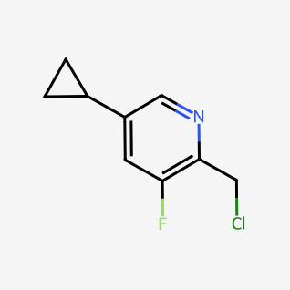 Fc1cc(C2CC2)cnc1CCl